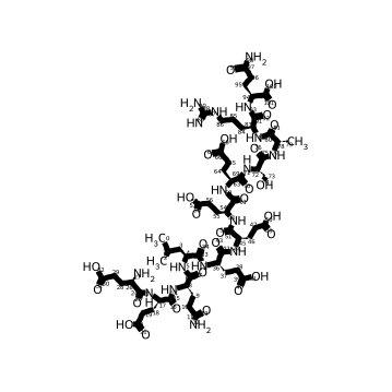 CC(C)C[C@H](NC(=O)[C@H](CCC(N)=O)NC(=O)[C@H](CCC(=O)O)NC(=O)[C@@H](N)CCC(=O)O)C(=O)N[C@@H](CCC(=O)O)C(=O)N[C@@H](CCC(=O)O)C(=O)N[C@@H](CCC(=O)O)C(=O)N[C@@H](CCC(=O)O)C(=O)N[C@@H](CO)C(=O)N[C@@H](C)C(=O)N[C@@H](CCCNC(=N)N)C(=O)N[C@@H](CCC(N)=O)C(=O)O